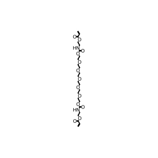 C=CC(=O)OCCNC(=O)OCCOCCOCCOCCOCCOCCOC(=O)NCCOC(=O)C=C